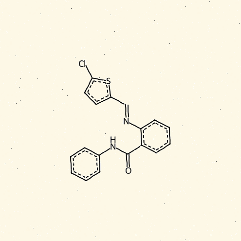 O=C(Nc1ccccc1)c1ccccc1/N=C/c1ccc(Cl)s1